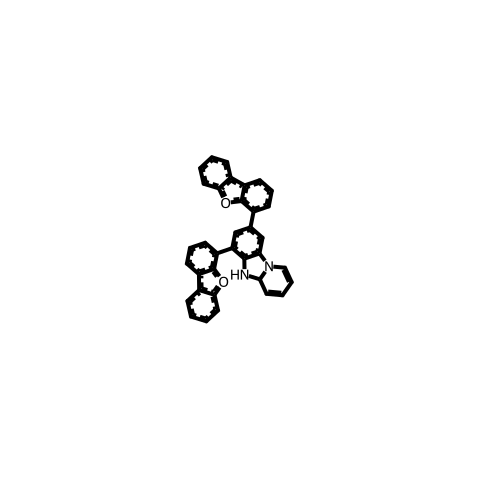 C1=CC2Nc3c(-c4cccc5c4oc4ccccc45)cc(-c4cccc5c4oc4ccccc45)cc3N2C=C1